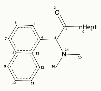 CCCCCCCC(=O)C(c1cccc2ccccc12)N(C)C